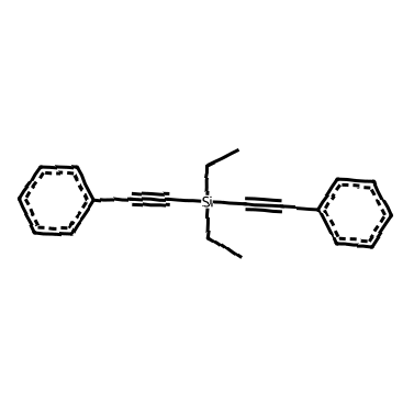 CC[Si](C#Cc1ccccc1)(C#Cc1ccccc1)CC